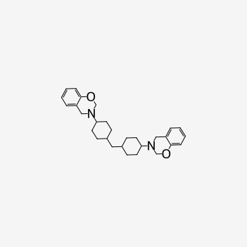 c1ccc2c(c1)CN(C1CCC(CC3CCC(N4COc5ccccc5C4)CC3)CC1)CO2